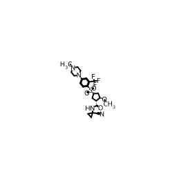 CO[C@@H]1C[C@H](S(=O)(=O)c2ccc(N3CCN(C)CC3)cc2C(F)(F)F)C[C@H]1C(=O)NC1(C#N)CC1